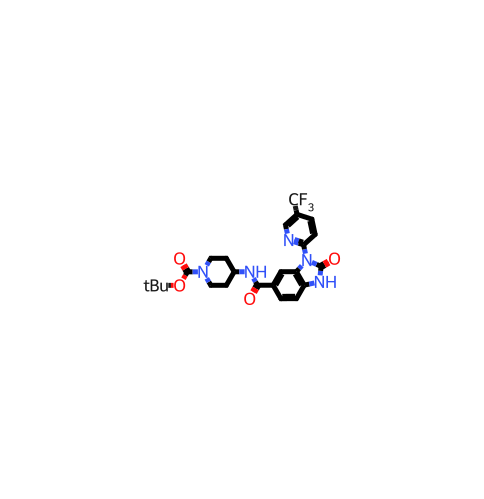 CC(C)(C)OC(=O)N1CCC(NC(=O)c2ccc3[nH]c(=O)n(-c4ccc(C(F)(F)F)cn4)c3c2)CC1